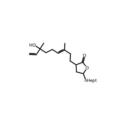 C=CC(C)(O)CCC=C(C)CCC1CC(CCCCCCC)OC1=O